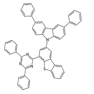 c1ccc(-c2ccc3c(c2)c2cc(-c4ccccc4)ccc2n3-c2cc(-c3nc(-c4ccccc4)nc(-c4ccccc4)n3)c3sc4ccccc4c3c2)cc1